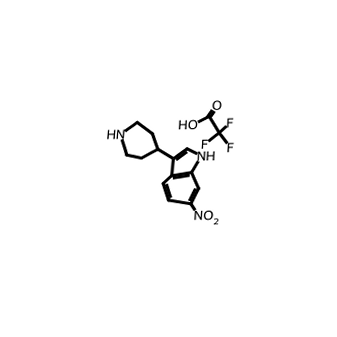 O=C(O)C(F)(F)F.O=[N+]([O-])c1ccc2c(C3CCNCC3)c[nH]c2c1